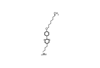 C=CCCCCCCOc1ccc(-c2ncc(CCCC[C@@H](C)CC)cn2)cc1